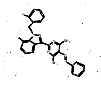 Nc1nc(-c2nn(Cc3ccccc3F)c3c(F)cccc23)nc(N)c1N=Nc1ccccc1